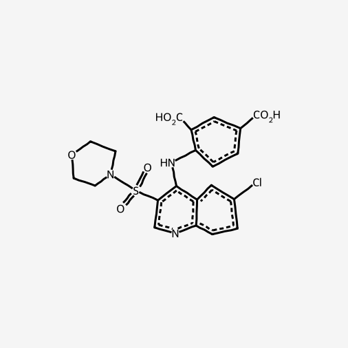 O=C(O)c1ccc(Nc2c(S(=O)(=O)N3CCOCC3)cnc3ccc(Cl)cc23)c(C(=O)O)c1